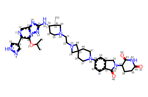 CC(C)Oc1c(-c2cn[nH]c2)ncc2nc(N[C@H]3CCN(CCN4CC5(CCN(c6ccc7c(c6)CN(C6CCC(=O)NC6=O)C7=O)CC5)C4)C[C@H]3C)nn12